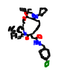 C[C@H]1COC(=O)[C@@H](N(C(=O)O)c2ccccc2)CC=CC[C@@H](CC(=O)NCc2ccc(Cl)cc2)C(=O)N1C